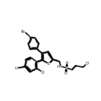 O=S(=O)(CCCCl)NCc1cc(-c2ccc(Br)cc2)c(-c2ccc(Cl)cc2Cl)s1